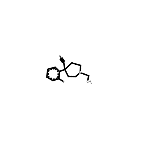 CCN1CCC(C#N)(c2ccccc2F)CC1